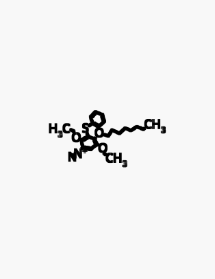 CCCCCCCCOc1c(OCC)cc([N+]#N)c(OCC)c1Sc1ccccc1